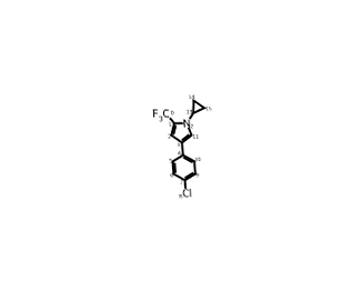 FC(F)(F)c1cc(-c2ccc(Cl)cc2)cn1C1CC1